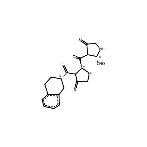 O=C[C@H]1NCC(=S)C1C(=O)[C@H]1NCC(=S)C1C(=O)[C@H]1CCc2ccccc2C1